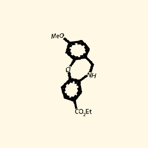 CCOC(=O)c1ccc2c(c1)NCc1ccc(OC)cc1O2